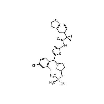 CC(C)(C)[Si](C)(C)OC1CCN([C@H](c2cnc(NC(=O)C3(c4ccc5c(c4)OCO5)CC3)s2)c2ccc(Cl)cc2F)C1